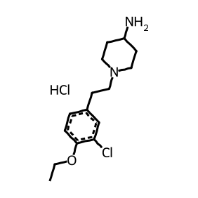 CCOc1ccc(CCN2CCC(N)CC2)cc1Cl.Cl